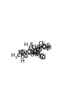 CCC1OC2(CCN(C(=O)c3ncnc(C)c3O)CC2)c2c1n(CC(=O)Nc1ccc(C(F)(F)F)cc1Cl)c1nc(C3=CCOCC3)nn1c2=O